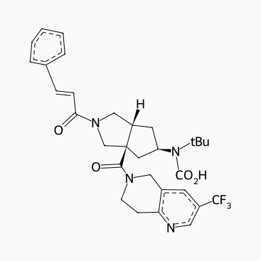 CC(C)(C)N(C(=O)O)[C@@H]1C[C@H]2CN(C(=O)/C=C/c3ccccc3)C[C@@]2(C(=O)N2CCc3ncc(C(F)(F)F)cc3C2)C1